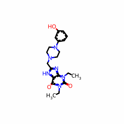 CCn1c(=O)c2[nH]c(CN3CCN(c4cccc(O)c4)CC3)nc2n(CC)c1=O